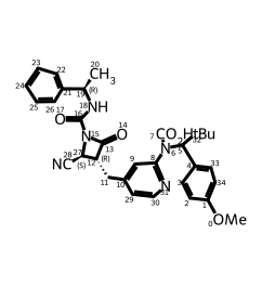 COc1ccc(C(N(C(=O)O)c2cc(C[C@H]3C(=O)N(C(=O)N[C@H](C)c4ccccc4)[C@@H]3C#N)ccn2)C(C)(C)C)cc1